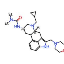 CCN(CC)C(=O)N[C@H]1CC2c3cccc4[nH]c(CN5CCOCC5)c(c34)C[C@H]2N(CC2CC2)C1